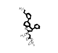 CCCc1cccc(-c2ccc3nc(N(C)CC(=O)OC)cc(-c4ccccc4)c3c2)c1